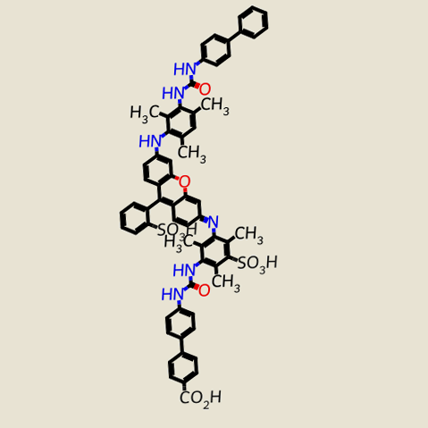 Cc1cc(C)c(Nc2ccc3c(-c4ccccc4S(=O)(=O)O)c4cc/c(=N\c5c(C)c(NC(=O)Nc6ccc(-c7ccc(C(=O)O)cc7)cc6)c(C)c(S(=O)(=O)O)c5C)cc-4oc3c2)c(C)c1NC(=O)Nc1ccc(-c2ccccc2)cc1